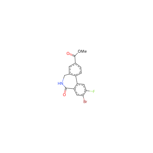 COC(=O)c1ccc2c(c1)CNC(=O)c1cc(Br)c(F)cc1-2